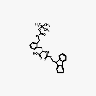 CC(C)(C)OC(=O)NCc1ccccc1C[C@H](NC(=O)OCC1c2ccccc2-c2ccccc21)C(=O)O